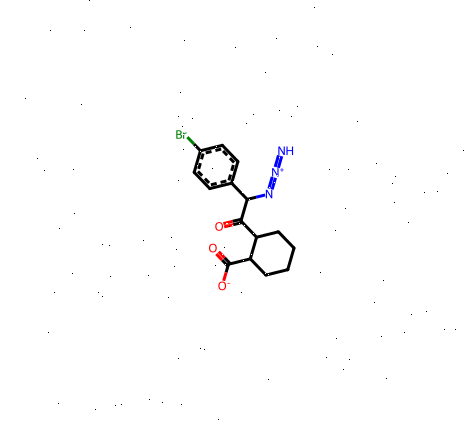 N=[N+]=NC(C(=O)C1CCCCC1C(=O)[O-])c1ccc(Br)cc1